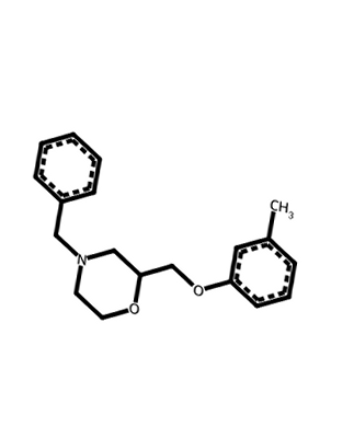 Cc1cccc(OCC2CN(Cc3ccccc3)CCO2)c1